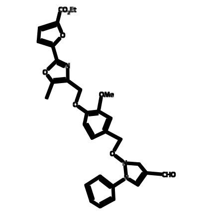 CCOC(=O)c1ccc(-c2nc(COc3ccc(CON4CC(C=O)=CN4c4ccccc4)cc3OC)c(C)o2)o1